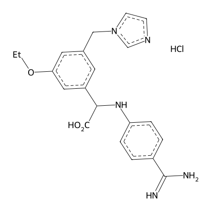 CCOc1cc(Cn2ccnc2)cc(C(Nc2ccc(C(=N)N)cc2)C(=O)O)c1.Cl